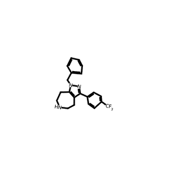 FC(F)(F)c1ccc(-c2nn(Cc3ccccc3)c3c2CCNCC3)cc1